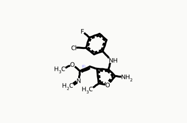 C=N/C(=C\c1c(C)oc(N)c1Nc1ccc(F)c(Cl)c1)OC